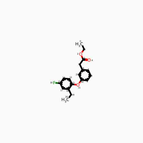 CCOC(=O)Cc1cccc(Oc2ccc(F)cc2CC)c1